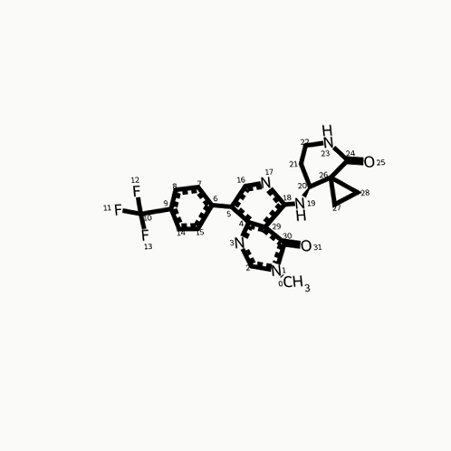 Cn1cnc2c(-c3ccc(C(F)(F)F)cc3)cnc(N[C@H]3CCNC(=O)C34CC4)c2c1=O